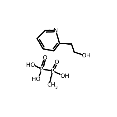 CP(=O)(O)P(=O)(O)O.OCCc1ccccn1